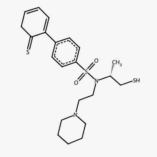 C[C@H](CS)N(CCN1CCCCC1)S(=O)(=O)c1ccc(C2=CC=CCC2=S)cc1